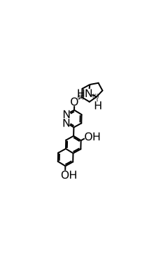 Oc1ccc2cc(-c3ccc(O[C@@H]4CC5CC[C@@H](C4)N5)nn3)c(O)cc2c1